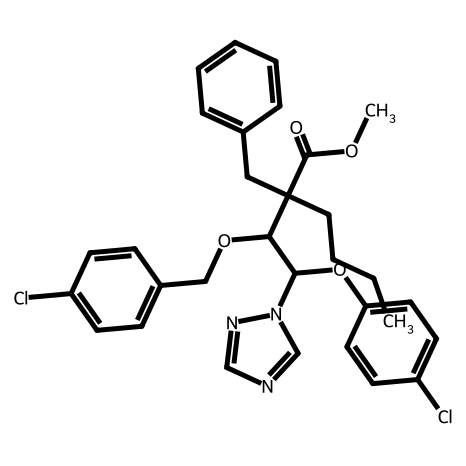 CCCCC(Cc1ccccc1)(C(=O)OC)C(OCc1ccc(Cl)cc1)C(Oc1ccc(Cl)cc1)n1cncn1